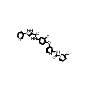 O=C(Nc1ccc(Oc2ccnc(NC(=O)N3C=CC=C(O)C3)c2)c(F)c1)c1cn(-c2cccnc2)nn1